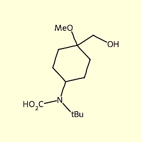 COC1(CO)CCC(N(C(=O)O)C(C)(C)C)CC1